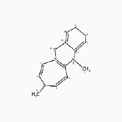 CC1C=CC2=C(C=C1)N(C)C1=CCCC=C1S2